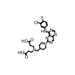 O=C(O)CCN(CCC(=O)O)CC1CCN(c2ncc3ncnc(Nc4ccc(F)c(Cl)c4)c3n2)CC1